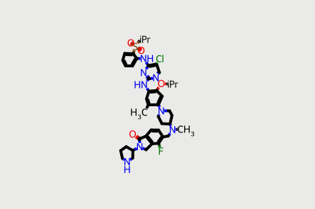 Cc1cc(Nc2ncc(Cl)c(Nc3ccccc3S(=O)(=O)C(C)C)n2)c(OC(C)C)cc1N1CCC(N(C)Cc2ccc3c(c2F)CN(C2CCCNC2)C3=O)CC1